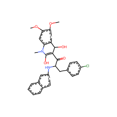 COc1cc2c(cc1OC)N(C)C(O)=C(C(=O)C(Cc1ccc(Cl)cc1)Nc1ccc3ccccc3c1)C2O